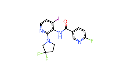 O=C(Nc1c(I)ccnc1N1CCC(F)(F)C1)c1ccc(F)nc1